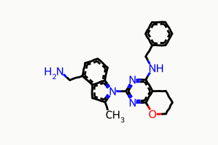 Cc1cc2c(CN)cccc2n1-c1nc(NCc2ccccc2)c2c(n1)OCCC2